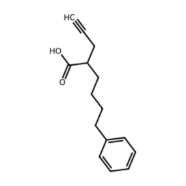 C#CCC(CCCCc1ccccc1)C(=O)O